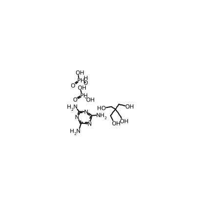 Nc1nc(N)nc(N)n1.O=[PH](O)O.O=[PH](O)O.OCC(CO)(CO)CO